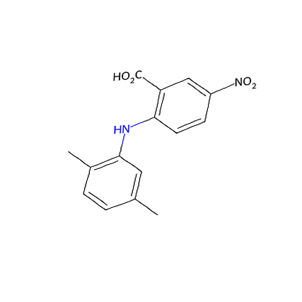 Cc1ccc(C)c(Nc2ccc([N+](=O)[O-])cc2C(=O)O)c1